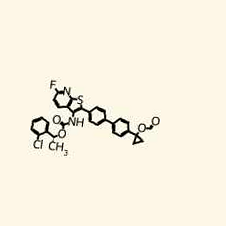 C[C@@H](OC(=O)Nc1c(-c2ccc(-c3ccc(C4(OC=O)CC4)cc3)cc2)sc2nc(F)ccc12)c1ccccc1Cl